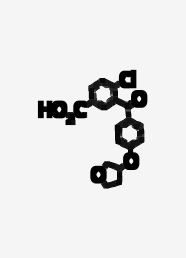 O=C(O)c1ccc(Cl)c(C(=O)c2ccc(OC3CCOC3)cc2)c1